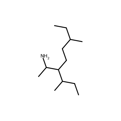 CCC(C)CCC(C(C)N)C(C)CC